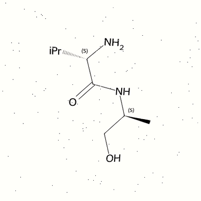 CC(C)[C@H](N)C(=O)N[C@@H](C)CO